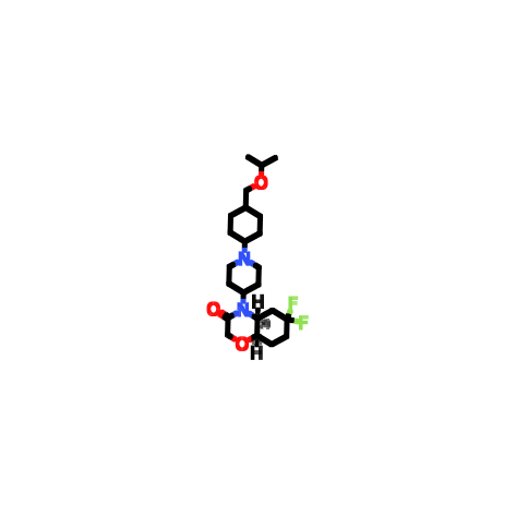 CC(C)OCC1CCC(N2CCC(N3C(=O)CO[C@@H]4CCC(F)(F)C[C@H]43)CC2)CC1